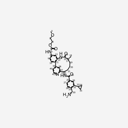 COCCOC(=O)Nc1ccc2c(c1)NC(=O)[C@@H](C)CCC[C@H](NC(=O)c1ccc(CN)c(C3CC3)c1)c1cc-2ccn1